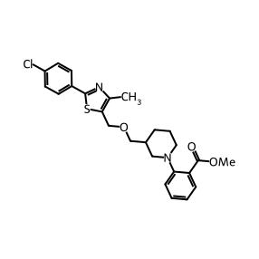 COC(=O)c1ccccc1N1CCCC(COCc2sc(-c3ccc(Cl)cc3)nc2C)C1